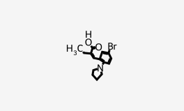 CCC(=Cc1cc(Br)ccc1N1CCCC1)C(=O)O